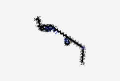 C=C(CCCCCCCC(CCCCCCCCCC/C=C\CCCCCCCC)CN1CCCCC1)CC1CCC2(C)C(=CCC3C4CCC(C(C)CCCC(C)C)C4(C)CCC32N)C1